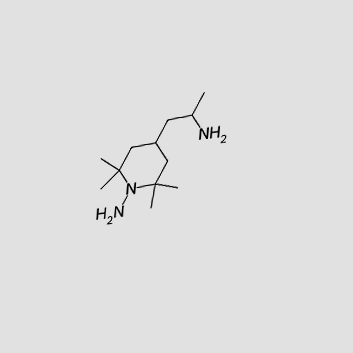 CC(N)CC1CC(C)(C)N(N)C(C)(C)C1